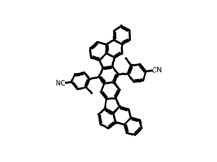 Cc1cc(C#N)ccc1-c1c2cc3c(cc2c(-c2ccc(C#N)cc2C)c2c4cc5ccccc5c5cccc(c12)c54)c1cc2ccccc2c2cccc3c21